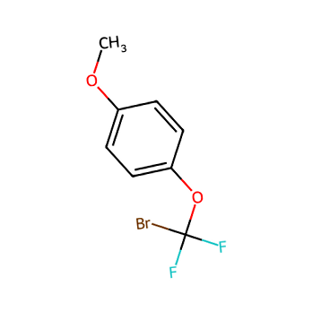 COc1ccc(OC(F)(F)Br)cc1